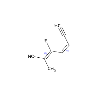 C#C/C=C\C(F)=C(/C)C#N